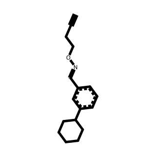 C#CCCON=[C]c1cccc(C2CCCCC2)c1